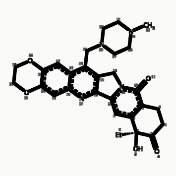 CC[C@@]1(O)C(=O)CCc2c1cc1n(c2=O)Cc2c-1nc1cc3c(cc1c2CN1CCN(C)CC1)OCCO3